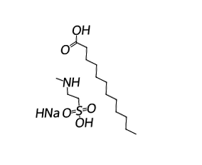 CCCCCCCCCCCC(=O)O.CNCCS(=O)(=O)O.[NaH]